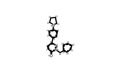 O=c1ccc(-c2ccc(N3CCCC3)cc2)nn1Cc1ccccc1